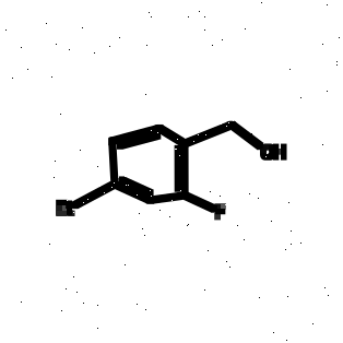 CCc1ccc(CO)c(F)c1